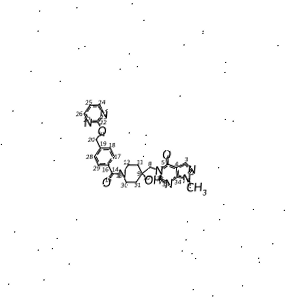 Cn1ncc2c(=O)n(CC3(O)CCN(C(=O)c4ccc(COc5ncccn5)cc4)CC3)cnc21